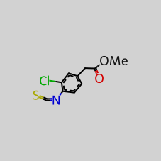 COC(=O)Cc1ccc(N=C=S)c(Cl)c1